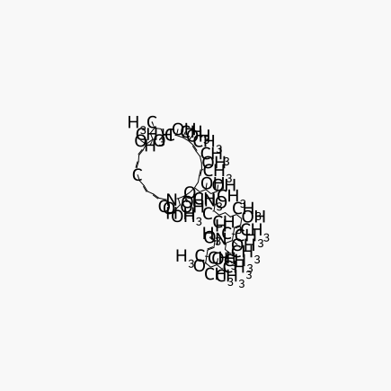 COC1/C=C/C=C/CC/C=C/C=C/C(=O)NC(C(O)C(=O)O)C(=O)OC(C(C)C(O)C(NC(=O)C(C)C(C)CCC(C)C(O)/C(C)=C/C(C)(C)C(O)C(CC(C)C)NC(=O)/C=C/C(C)(C)C(=O)C(C)C(O)C(C)C)C(C)O)C/C=C(\C)C(O)C(C)/C=C(\C)C(O)C(C)C(O)C[C@@H]2C[C@H](C)C[C@@H]1O2